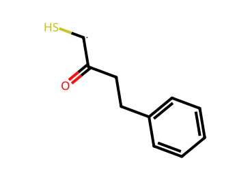 O=C([CH]S)CCc1ccccc1